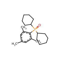 Cc1cc(C)c(P(=O)(C2CCCCC2)C2CCCCC2)c(C)c1